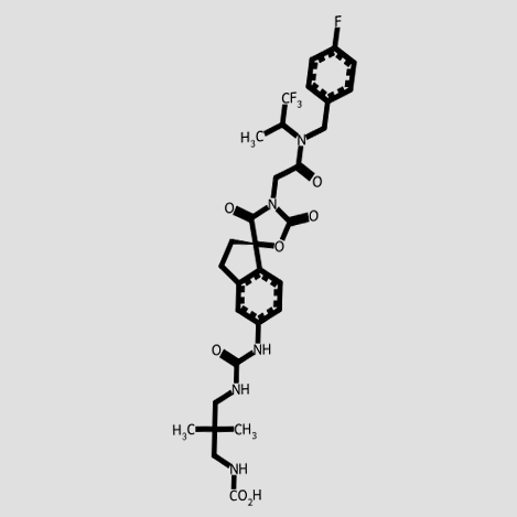 CC(N(Cc1ccc(F)cc1)C(=O)CN1C(=O)O[C@@]2(CCc3cc(NC(=O)NCC(C)(C)CNC(=O)O)ccc32)C1=O)C(F)(F)F